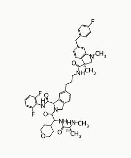 CN[C@@H](C)C(=O)NC(C(=O)N1Cc2ccc(CCCNC(=O)[C@]3(C)CN(C)c4cc(Cc5ccc(F)cc5)ccc43)cc2C1C(=O)Nc1c(F)cccc1F)C1CCOCC1